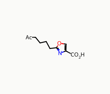 CC(=O)CCCCc1nc(C(=O)O)co1